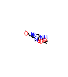 COCCc1cc2n(n1)CCC(NC(=O)OC(C)(C)C)C(=O)N2C